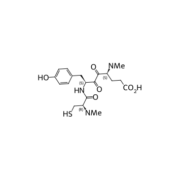 CN[C@@H](CS)C(=O)N[C@@H](Cc1ccc(O)cc1)C(=O)C(=O)[C@H](CCC(=O)O)NC